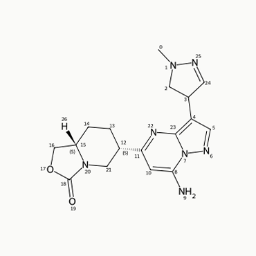 CN1CC(c2cnn3c(N)cc([C@H]4CC[C@H]5COC(=O)N5C4)nc23)C=N1